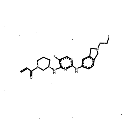 C=CC(=O)N1CCC[C@@H](Nc2nc(Nc3ccc4c(c3)CN(CCF)C4)ncc2F)C1